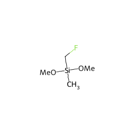 CO[Si](C)(CF)OC